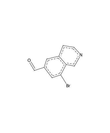 O=Cc1cc(Br)c2cnccc2c1